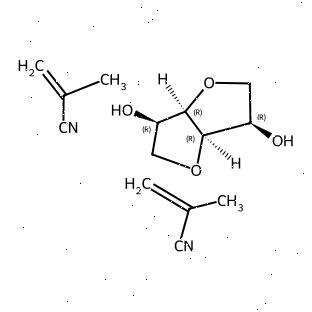 C=C(C)C#N.C=C(C)C#N.O[C@@H]1CO[C@H]2[C@@H]1OC[C@H]2O